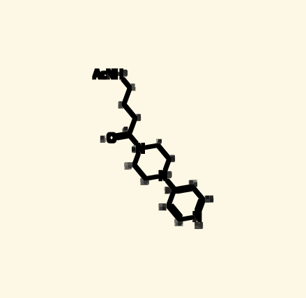 CC(=O)NCCCC(=O)N1CCN(c2ccncc2)CC1